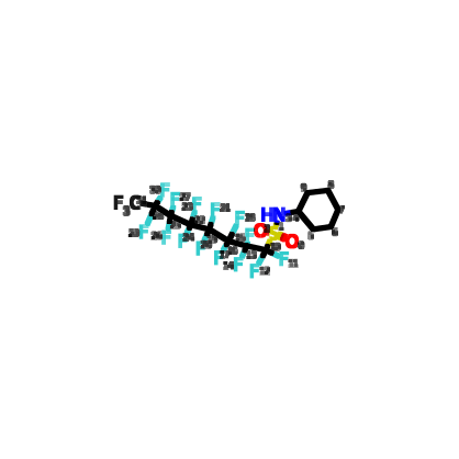 O=S(=O)(NC1CCCCC1)C(F)(F)C(F)(F)C(F)(F)C(F)(F)C(F)(F)C(F)(F)C(F)(F)C(F)(F)F